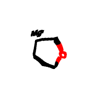 C1CCOC1.[Mg]